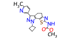 COC(=O)Nc1nc2c(s1)-c1c(c(-c3ccc(C)nc3)nn1C1CCC1)CC2